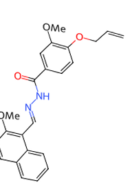 C=CCOc1ccc(C(=O)NN=Cc2c(OC)ccc3ccccc23)cc1OC